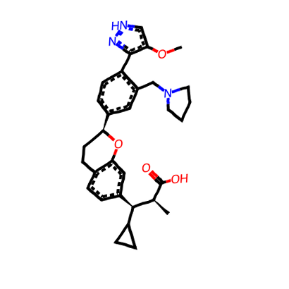 COc1c[nH]nc1-c1ccc([C@@H]2CCc3ccc([C@H](C4CC4)[C@H](C)C(=O)O)cc3O2)cc1CN1CCCC1